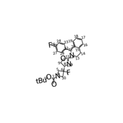 CC(C)(C)OC(=O)N1CC(F)([C@H]2COC(N3CCc4ccccc4[C@@H]3c3ccc(F)cc3)=N2)C1